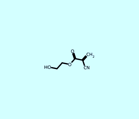 C=C(C#N)C(=O)OCCO